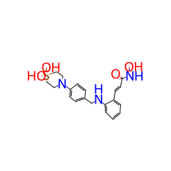 O=C(/C=C/c1ccccc1NCc1ccc(N2CCS(O)(O)CC2)cc1)NO